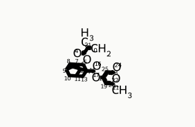 C=C(C)C(=O)OC1C2CC3CC(C2)CC1(C(=O)Oc1cc(C)oc(=O)c1)C3